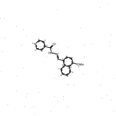 COc1ccc(C=NNC(=O)c2ccncc2)c2ccccc12